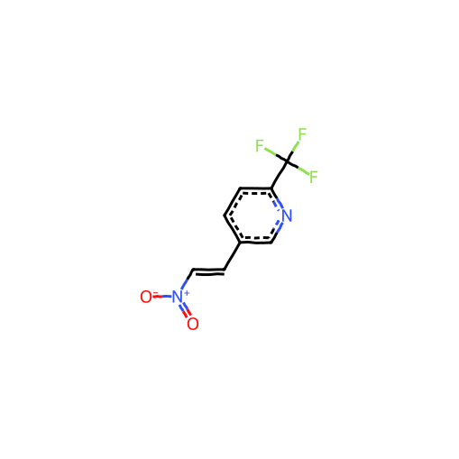 O=[N+]([O-])C=Cc1ccc(C(F)(F)F)nc1